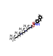 CC(C)=CCC/C(C)=C/CC/C(C)=C/CC/C(C)=C/COC(=O)Nc1ccc2c(c1)Cc1ccccc1-2